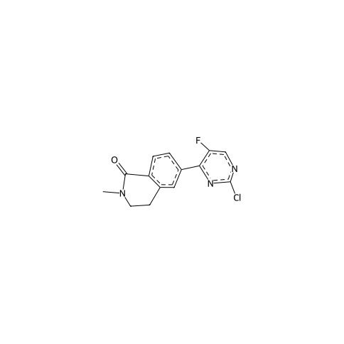 CN1CCc2cc(-c3nc(Cl)ncc3F)ccc2C1=O